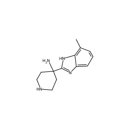 Cc1cccc2nc(C3(N)CCNCC3)[nH]c12